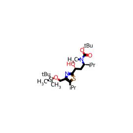 CC(C)c1sc([C@H](O)C[C@H](C(C)C)N(C)C(=O)OC(C)(C)C)nc1CO[Si](C)(C)C(C)(C)C